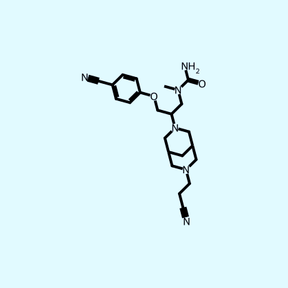 CN(CC(COc1ccc(C#N)cc1)N1CC2CC(CN(CCC#N)C2)C1)C(N)=O